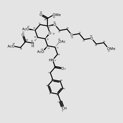 C#Cc1ccc(CC(=O)NC[C@@H](OC(C)=O)[C@@H](OC(C)=O)[C@@H]2O[C@@](OCCOCCOCCOC)(C(=O)OC)C[C@H](OC(C)=O)[C@H]2NC(=O)COC(C)=O)cc1